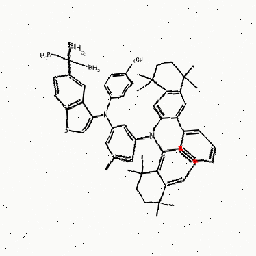 BC(B)(B)c1ccc2scc(N(c3ccc(C(C)(C)C)cc3)c3cc(C)cc(N(c4cc5c(cc4-c4ccccc4)C(C)(C)CCC5(C)C)c4cccc5c4C(C)(C)CCC5(C)C)c3)c2c1